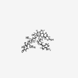 COC1C(OP(=O)(OC[C@H]2O[C@@H](n3cnc4c(N)ncnc43)CC2O)SCOC(=O)CCC(C)C2CCC3C4CCC5CC(O)CCC5(C)C4CC(O)C23C)[C@@H](CO)O[C@H]1n1ccc(=O)[nH]c1=O